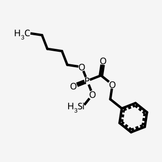 CCCCCOP(=O)(O[SiH3])C(=O)OCc1ccccc1